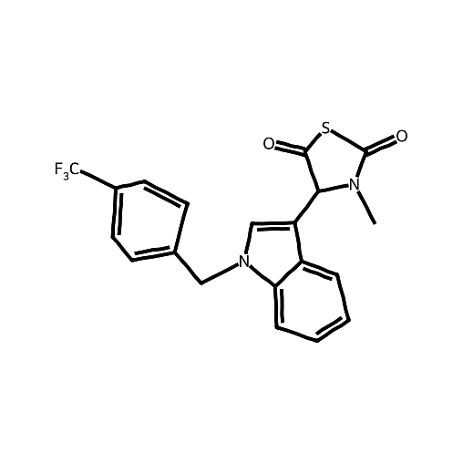 CN1C(=O)SC(=O)C1c1cn(Cc2ccc(C(F)(F)F)cc2)c2ccccc12